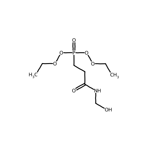 CCOOP(=O)(CCC(=O)NCO)OOCC